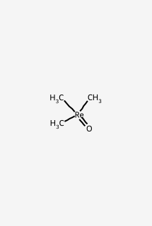 [CH3][Re]([CH3])([CH3])=[O]